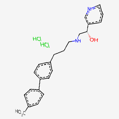 Cl.Cl.O=C(O)c1ccc(-c2ccc(CCCNC[C@@H](O)c3cccnc3)cc2)cc1